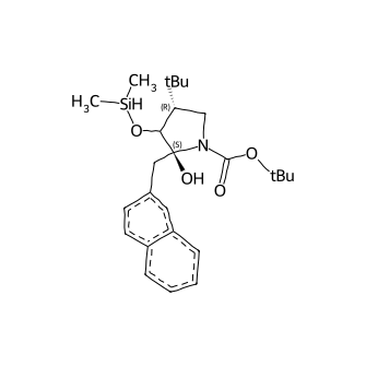 C[SiH](C)OC1[C@H](C(C)(C)C)CN(C(=O)OC(C)(C)C)[C@]1(O)Cc1ccc2ccccc2c1